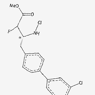 COC(=O)C(F)[C@@H](Cc1ccc(-c2cccc(Cl)c2)cc1)NCl